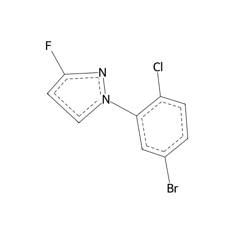 Fc1ccn(-c2cc(Br)ccc2Cl)n1